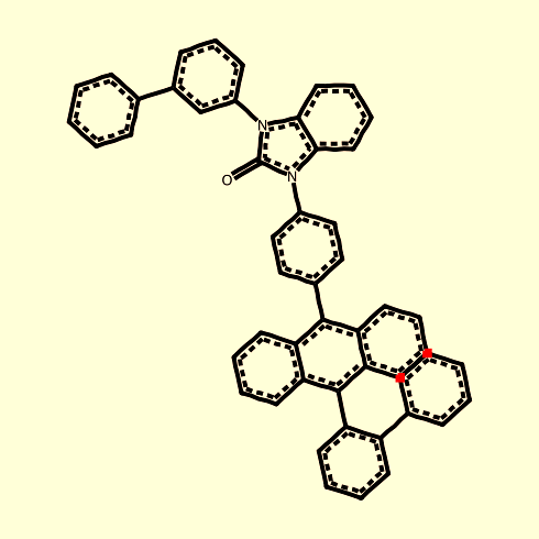 O=c1n(-c2ccc(-c3c4ccccc4c(-c4ccccc4-c4ccccc4)c4ccccc34)cc2)c2ccccc2n1-c1cccc(-c2ccccc2)c1